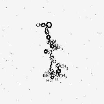 Cc1ncsc1-c1ccc([C@H](C)NC(=O)[C@@H]2C[C@@H](O)CN2C(=O)[C@@H](NC(=O)CCCCCC(=O)N2CCN(CC[C@H](CSc3ccccc3)Nc3ccc(S(=O)(=O)NC(=O)c4ccc(N5CCN(CC6=C(c7ccc(Cl)cc7)CCCCCC6)CC5)cc4)cc3S(=O)(=O)C(F)(F)F)CC2)C(C)(C)C)cc1